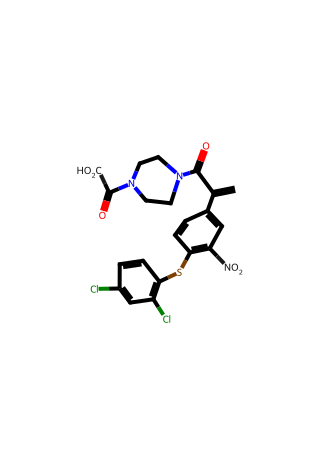 C=C(C(=O)N1CCN(C(=O)C(=O)O)CC1)c1ccc(Sc2ccc(Cl)cc2Cl)c([N+](=O)[O-])c1